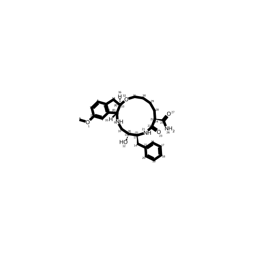 COc1ccc2c(c1)[C@H]1NC[C@@H](O)[C@H](Cc3ccccc3)NC(=O)[C@H](C(N)=O)CCCCO[C@@H]1C2